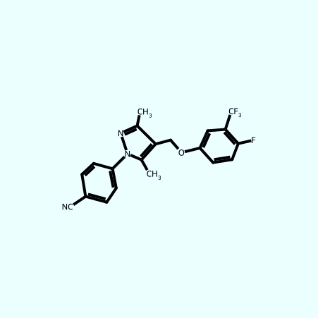 Cc1nn(-c2ccc(C#N)cc2)c(C)c1COc1ccc(F)c(C(F)(F)F)c1